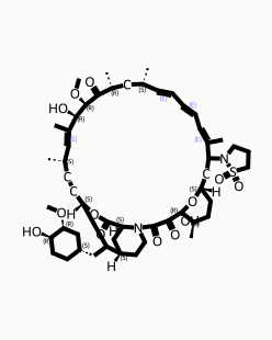 CO[C@@H]1C[C@H](CC2[C@H]3CCN4C(=O)C(=O)[C@]5(O)O[C@@H](CC[C@H]5C)CC(N5CCCS5(=O)=O)/C(C)=C/C=C/C=C/[C@@H](C)C[C@@H](C)C(=O)[C@H](OC)[C@H](O)/C(C)=C/[C@@H](C)CC[C@@H]2OC(=O)[C@@H]4C3)CC[C@H]1O